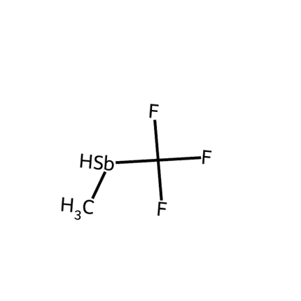 [CH3][SbH][C](F)(F)F